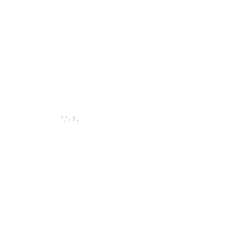 CNC(C)c1ccc2ccccc2c1